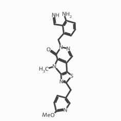 COc1ccc(Cc2nc3c(s2)c2cnn(Cc4cccc(N)c4C=N)c(=O)c2n3C)cn1